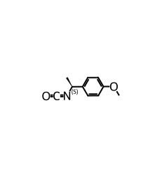 COc1ccc([C@H](C)N=C=O)cc1